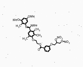 CN/C(=N\c1cc(OC)cc(OC)c1C)c1cc(C)c(OCCOC(=O)c2cccc(OCC(CO[N+](=O)[O-])O[N+](=O)[O-])c2)c(C)c1C